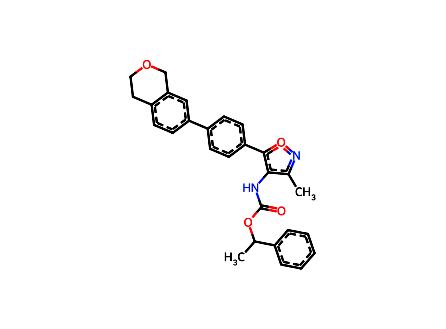 Cc1noc(-c2ccc(-c3ccc4c(c3)COCC4)cc2)c1NC(=O)OC(C)c1ccccc1